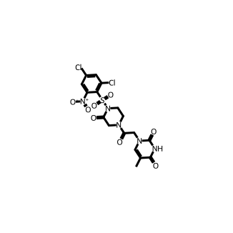 Cc1cn(CC(=O)N2CCN(S(=O)(=O)c3c(Cl)cc(Cl)cc3[N+](=O)[O-])C(=O)C2)c(=O)[nH]c1=O